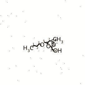 CCCCOCC(C[S+](C)[O-])OCCO